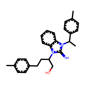 Cc1ccc(CCC(CO)n2c(=N)n(C(C)c3ccc(C)cc3)c3ccccc32)cc1